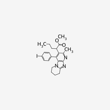 CCCC(C(=O)OC)c1c(C)nc2nc3n(c2c1-c1ccc(I)cc1)CCCC3